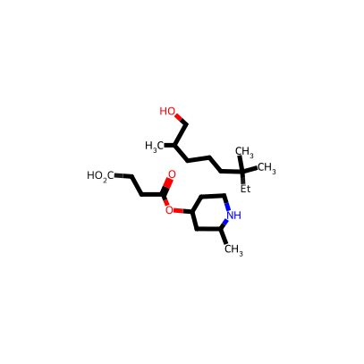 CC1CC(OC(=O)CCC(=O)O)CCN1.CCC(C)(C)CCCC(C)CO